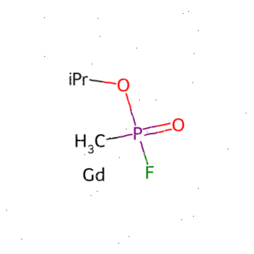 CC(C)OP(C)(=O)F.[Gd]